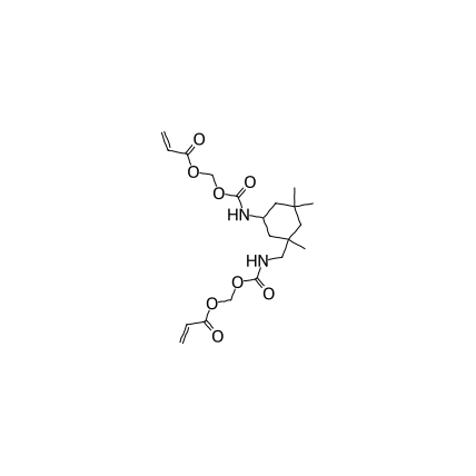 C=CC(=O)OCOC(=O)NCC1(C)CC(NC(=O)OCOC(=O)C=C)CC(C)(C)C1